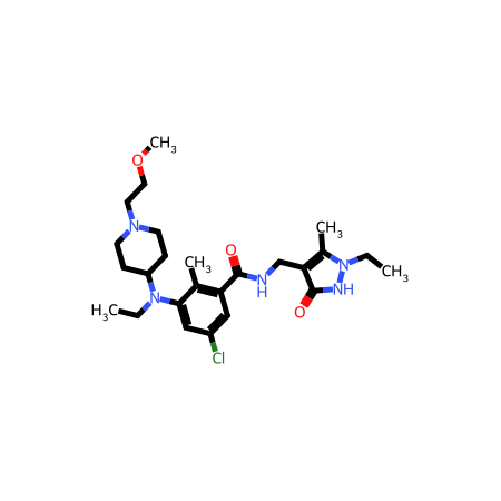 CCN(c1cc(Cl)cc(C(=O)NCc2c(C)n(CC)[nH]c2=O)c1C)C1CCN(CCOC)CC1